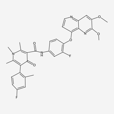 COc1cc2nccc(Oc3ccc(NC(=O)c4c(C)n(C)c(C)c(-c5ccc(F)cc5C)c4=O)cc3F)c2nc1OC